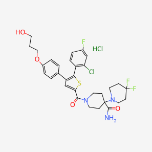 Cl.NC(=O)C1(N2CCC(F)(F)CC2)CCN(C(=O)c2cc(-c3ccc(OCCCO)cc3)c(-c3ccc(F)cc3Cl)s2)CC1